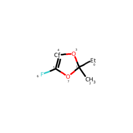 CCC1(C)[O][Cf]=[C](F)O1